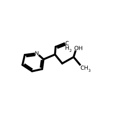 C=CC(CC(C)O)c1ccccn1